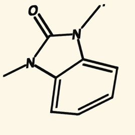 [CH2]n1c(=O)n(C)c2ccccc21